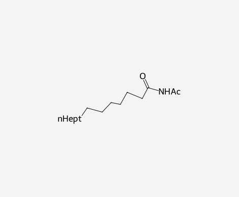 CCCCCCCCCCCCCC(=O)NC(C)=O